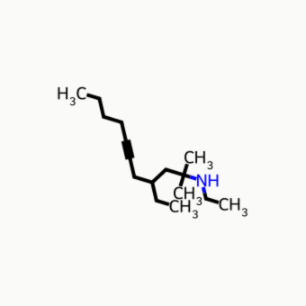 CCCCC#CCC(CC)CC(C)(C)NCC